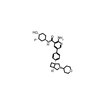 Nc1ncc(-c2ccc([C@@]34CC[C@@H]3CN(C3CCOCC3)C4)cc2)cc1C(=O)N[C@@H]1CC[C@@H](O)[C@@H](F)C1